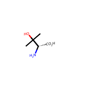 CC(C)(O)[C@@H](N)C(=O)O